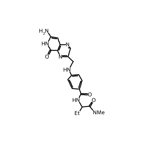 CCC(NC(=O)c1ccc(NCc2cnc3cc(N)[nH]c(=O)c3n2)cc1)C(=O)NC